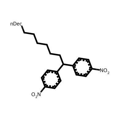 CCCCCCCCCCCCCCCCC(c1ccc([N+](=O)[O-])cc1)c1ccc([N+](=O)[O-])cc1